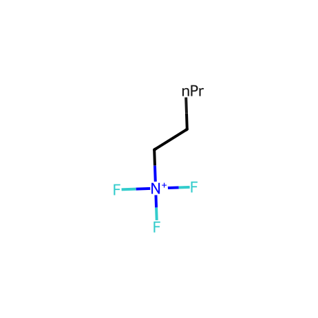 CCCCC[N+](F)(F)F